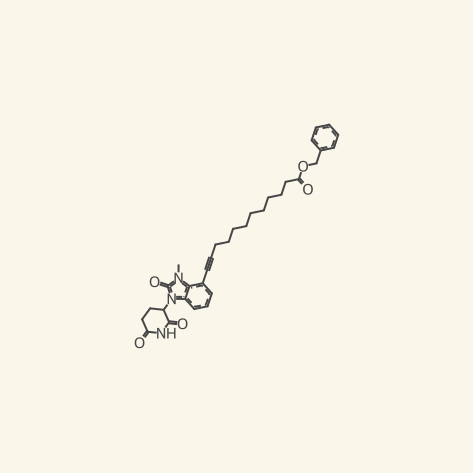 Cn1c(=O)n(C2CCC(=O)NC2=O)c2cccc(C#CCCCCCCCCCC(=O)OCc3ccccc3)c21